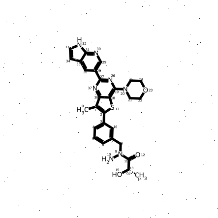 Cc1c(-c2cccc(CN(N)C(=O)[C@H](C)O)c2)sc2c(N3CCOCC3)nc(-c3cnc4[nH]ccc4c3)nc12